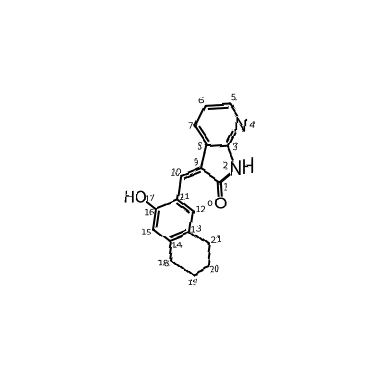 O=C1Nc2ncccc2C1=Cc1cc2c(cc1O)CCCC2